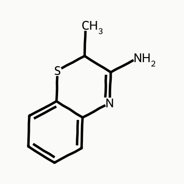 CC1Sc2ccccc2N=C1N